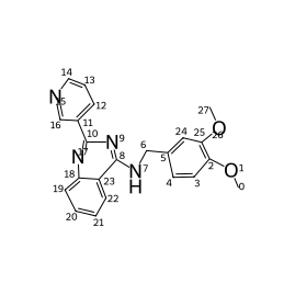 COc1ccc(CNc2nc(-c3cccnc3)nc3ccccc23)cc1OC